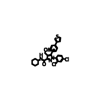 COCc1c(C(=O)NC2CCCCC2)nn(-c2ccc(Cl)cc2Cl)c1-c1ccc(-c2ccsc2)cc1